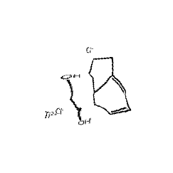 C1=CCC2CCCC2=C1.OCCO.[Cl-].[Cl-].[Ti+2]